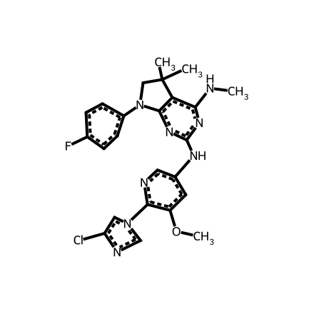 CNc1nc(Nc2cnc(-n3cnc(Cl)c3)c(OC)c2)nc2c1C(C)(C)CN2c1ccc(F)cc1